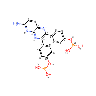 Nc1ccc2nc(-c3ccc(OP(O)O)cc3)c(-c3ccc(OP(O)O)cc3)nc2n1